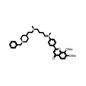 COc1ccc2c(=O)cc(-c3ccc(N(C)CCCCN(C)CCC4CCN(Cc5ccccc5)CC4)cc3)oc2c1OC